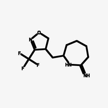 N=C1CCCCC(CC2CON=C2C(F)(F)F)N1